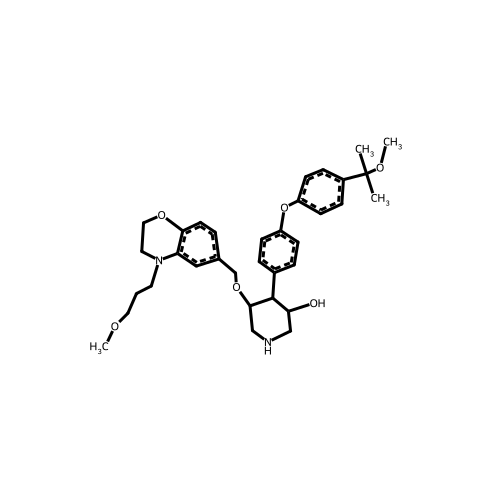 COCCCN1CCOc2ccc(COC3CNCC(O)C3c3ccc(Oc4ccc(C(C)(C)OC)cc4)cc3)cc21